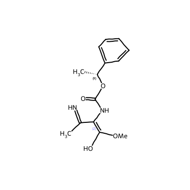 CO/C(O)=C(\NC(=O)O[C@H](C)c1ccccc1)C(C)=N